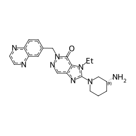 CCn1c(N2CCC[C@@H](N)C2)nc2cnn(Cc3ccc4nccnc4c3)c(=O)c21